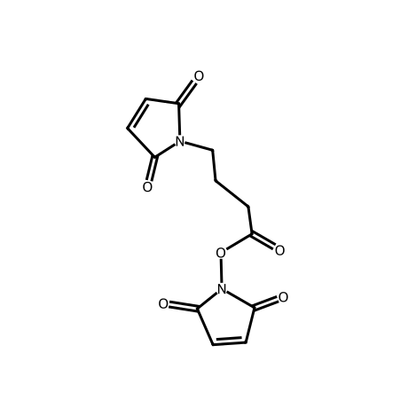 O=C(CCCN1C(=O)C=CC1=O)ON1C(=O)C=CC1=O